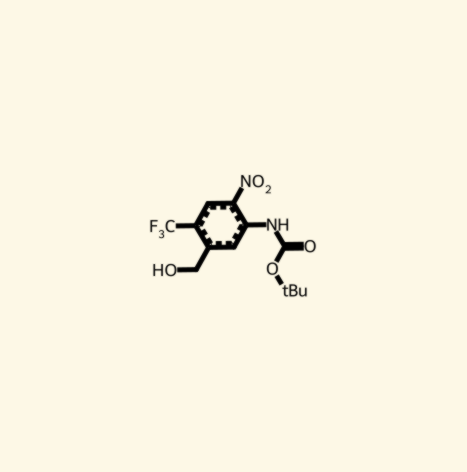 CC(C)(C)OC(=O)Nc1cc(CO)c(C(F)(F)F)cc1[N+](=O)[O-]